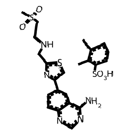 CS(=O)(=O)CCNCc1nc(-c2ccc3ncnc(N)c3c2)cs1.Cc1cccc(S(=O)(=O)O)c1C